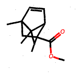 COC(=O)C1(C)CC2(C)C=CC1C2(C)C